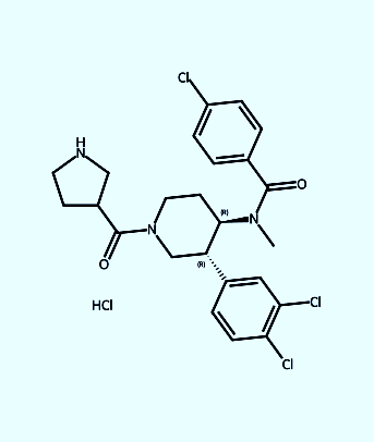 CN(C(=O)c1ccc(Cl)cc1)[C@@H]1CCN(C(=O)C2CCNC2)C[C@H]1c1ccc(Cl)c(Cl)c1.Cl